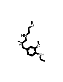 CCNc1ccc(C[C@@H](C)CNCCOC)cc1OC